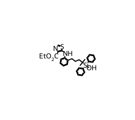 CCOC(=O)c1ncsc1Nc1ccccc1CCCC(C)(C)[Si](O)(c1ccccc1)c1ccccc1